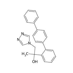 CC(O)(Cn1cnnc1)c1ccccc1-c1ccc(-c2ccccc2)cc1